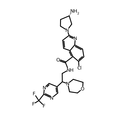 N[C@H]1CCN(c2ccc3c(C(=O)NCC(c4cnc(C(F)(F)F)nc4)N4CCOCC4)c(Cl)ccc3n2)C1